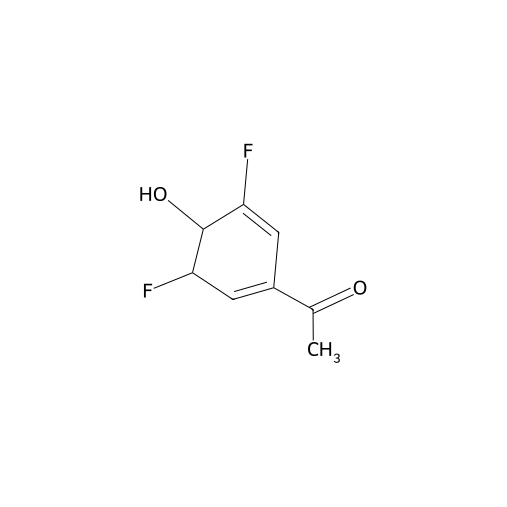 CC(=O)C1=CC(F)C(O)C(F)=C1